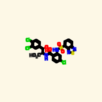 O=C(N[C@@H](C(=O)O)[C@@H](O)c1ccc(Cl)c(Cl)c1)c1ccc(Cl)cc1NS(=O)(=O)c1cccc2nsnc12